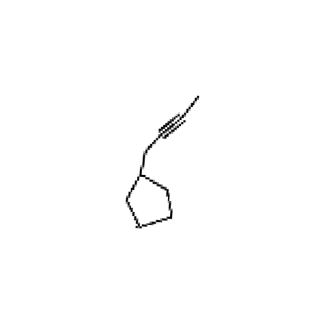 CC#CCC1C[CH]CC1